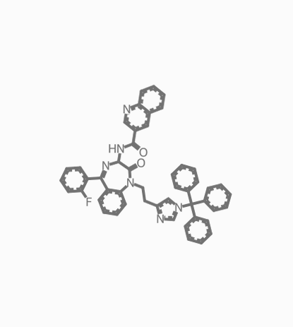 O=C(NC1N=C(c2ccccc2F)c2ccccc2N(CCc2cn(C(c3ccccc3)(c3ccccc3)c3ccccc3)cn2)C1=O)c1cnc2ccccc2c1